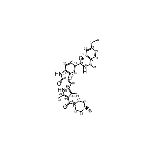 CCc1ccc(C(C)NC(=O)c2ccc3c(c2)C(=Cc2[nH]c(C)c(C(=O)N4CCN(C)CC4)c2C)C(=O)N3)cc1